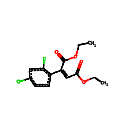 CCOC(=O)C=C(C(=O)OCC)c1ccc(Cl)cc1Cl